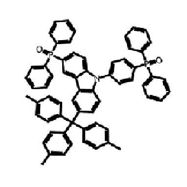 Cc1ccc(C(c2ccc(C)cc2)(c2ccc(C)cc2)c2ccc3c(c2)c2cc(P(=O)(c4ccccc4)c4ccccc4)ccc2n3-c2ccc(P(=O)(c3ccccc3)c3ccccc3)cc2)cc1